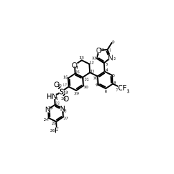 Cc1nc(-c2cc(C(F)(F)F)ccc2C2CCOc3cc(S(=O)(=O)Nc4ncc(F)cn4)ccc32)co1